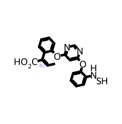 C/C=C(/C(=O)O)c1ccccc1Oc1cc(Oc2ccccc2NS)ncn1